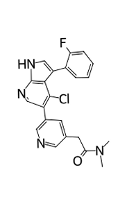 CN(C)C(=O)Cc1cncc(-c2cnc3[nH]cc(-c4ccccc4F)c3c2Cl)c1